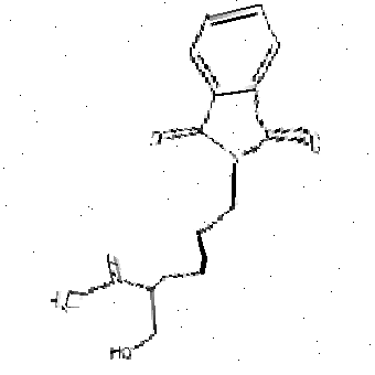 CNC(CO)CCCN1C(=O)c2ccccc2C1=O